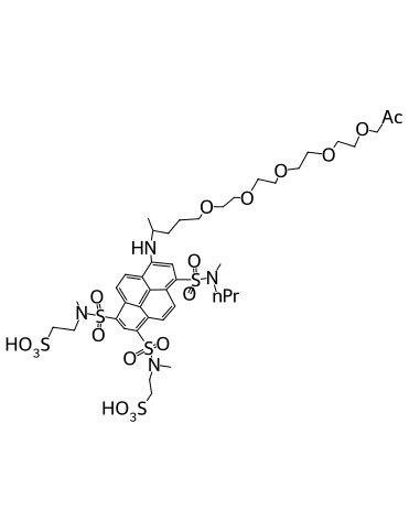 CCCN(C)S(=O)(=O)c1cc(NC(C)CCCOCCOCCOCCOCCOCC(C)=O)c2ccc3c(S(=O)(=O)N(C)CCS(=O)(=O)O)cc(S(=O)(=O)N(C)CCS(=O)(=O)O)c4ccc1c2c34